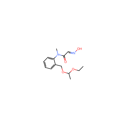 CCOC(C)OCc1ccccc1N(C)C(=O)C=NO